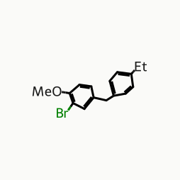 CCc1ccc(Cc2ccc(OC)c(Br)c2)cc1